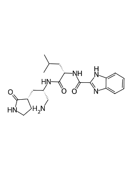 CC(C)C[C@H](NC(=O)c1nc2ccccc2[nH]1)C(=O)N[C@H](CN)C[C@@H]1CCNC1=O